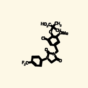 COc1cc(CN2C(=O)CN(c3ccc(C(F)(F)F)cc3)C2=O)cc(Cl)c1OC(C)(C)C(=O)O